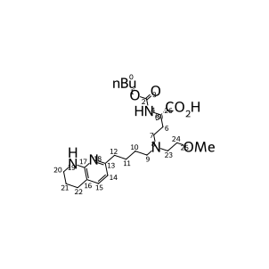 CCCCOC(=O)N[C@@H](CCN(CCCCc1ccc2c(n1)NCCC2)CCOC)C(=O)O